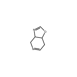 C1=NCC2N=COC2C1